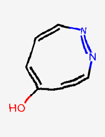 OC1=CC=CN=NC=C1